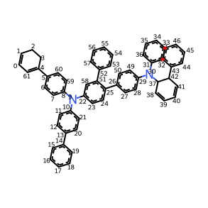 C1=CCCC(c2ccc(N(c3ccc(-c4ccccc4)cc3)c3ccc(-c4ccc(N(c5ccccc5)C5C=CC=CC5c5ccccc5)cc4)c(-c4ccccc4)c3)cc2)=C1